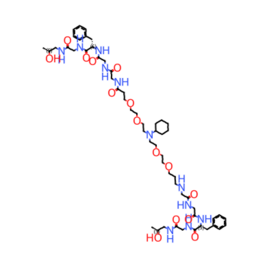 C[C@H](O)CNC(=O)CNC(=O)[C@H](Cc1ccccc1)NC(=O)CNC(=O)CNCCCOCCOCCN(CCOCCOCCC(=O)NCC(=O)NCC(=O)N[C@@H](Cc1ccccc1)C(=O)NCC(=O)NC[C@H](C)O)C1CCCCC1